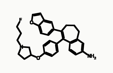 Nc1ccc2c(c1)CCCC(c1ccc3occc3c1)=C2c1ccc(OC2CCN(CCCF)C2)cc1